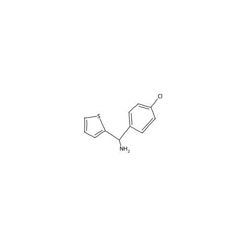 NC(c1ccc(Cl)cc1)c1cccs1